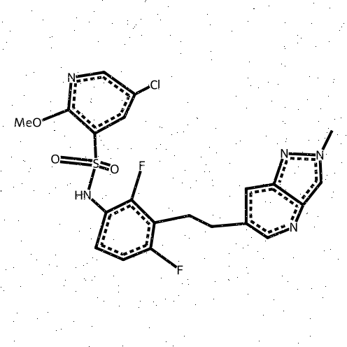 COc1ncc(Cl)cc1S(=O)(=O)Nc1ccc(F)c(CCc2cnc3cn(C)nc3c2)c1F